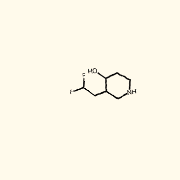 OC1CCNCC1CC(F)F